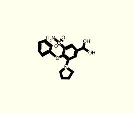 NS(=O)(=O)c1cc(C(O)O)cc(N2CCCC2)c1Oc1ccccc1